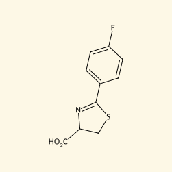 O=C(O)C1CSC(c2ccc(F)cc2)=N1